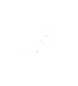 COc1cc(NC(=O)OC(C)(C)C)c([N+](=O)[O-])cc1-c1ccccc1F